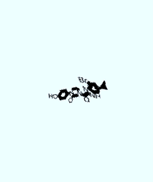 O=C(c1nc2c(Br)cc(C3CC3)cc2[nH]1)N1CCN(C2CCC(O)CC2)C(=O)C1